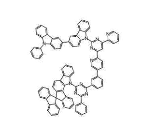 c1ccc(-c2nc(-c3cccc(-c4ccc(-c5cc(-c6ccccn6)nc(-n6c7ccccc7c7cc(-c8ccc9c(c8)c8ccccc8n9-c8ccccc8)ccc76)n5)nc4)c3)nc(-n3c4ccccc4c4ccc5c(c43)-c3ccccc3C53c4ccccc4-c4ccccc43)n2)cc1